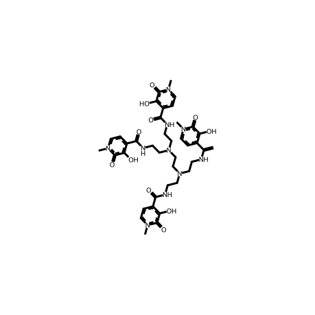 C=C(NCCN(CCNC(=O)c1ccn(C)c(=O)c1O)CCN(CCNC(=O)c1ccn(C)c(=O)c1O)CCNC(=O)c1ccn(C)c(=O)c1O)c1ccn(C)c(=O)c1O